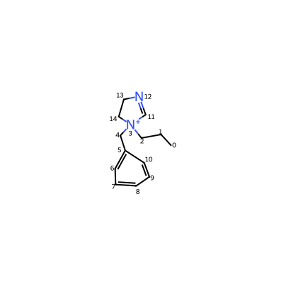 CCC[N+]1(Cc2ccccc2)C=NCC1